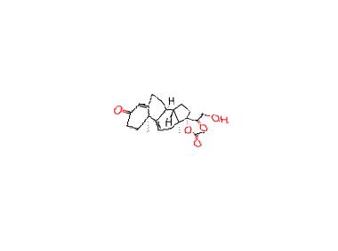 CC(=O)O[C@@]1(C(=O)CO)CC[C@H]2[C@@H]3CCC4=CC(=O)CC[C@]4(C)C3=CC[C@@]21C